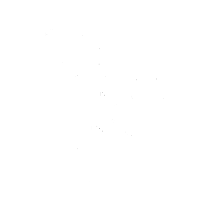 O=C(NC(C(=O)NC1CCCCC1)c1cccs1)c1ccc(C(F)(F)F)cc1